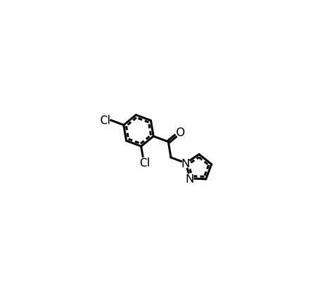 O=C(Cn1cccn1)c1ccc(Cl)cc1Cl